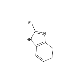 CC(C)c1nc2c([nH]1)C=CCC2